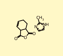 Cc1ncc[nH]1.O=C1OC(=O)C2CCC=CC12